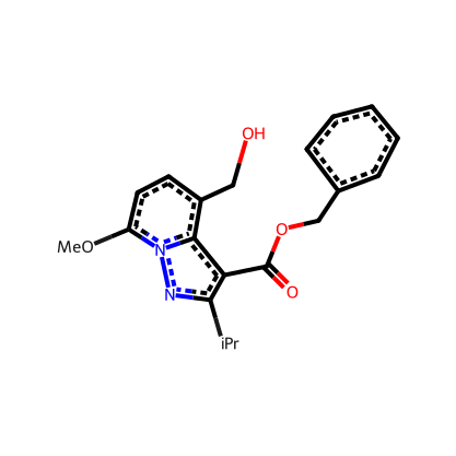 COc1ccc(CO)c2c(C(=O)OCc3ccccc3)c(C(C)C)nn12